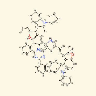 C/C=C\C1Oc2ccc(C3=C(c4nc(-c5ccccc5)nc(-c5ccccc5)n4)CC(C4=CC5C6C7=C(CCC6OC5(C)CC4)N(c4ccccc4)C4C=CC=CCC74)C=N3)cc2C1C1C2=CCCC=C2N(C2C=CCCC2)C1C